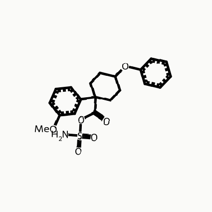 COc1cccc(C2(C(=O)OS(N)(=O)=O)CCC(Oc3ccccc3)CC2)c1